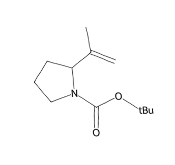 C=C(C)C1CCCN1C(=O)OC(C)(C)C